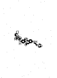 O=C(Nc1ccc(N2C(=O)Cc3cc(NCCCN4CCOCC4)ccc3C2=O)c(Cl)c1)NS(=O)(=O)c1ccc(Cl)s1